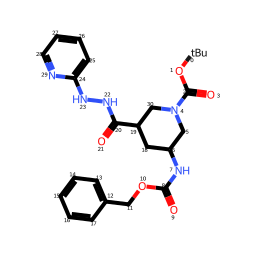 CC(C)(C)OC(=O)N1CC(NC(=O)OCc2ccccc2)CC(C(=O)NNc2ccccn2)C1